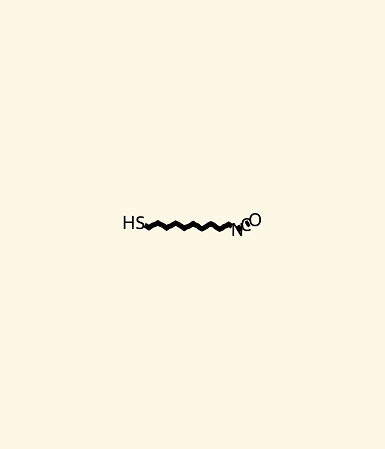 O=C=NCCCCCCCCCCS